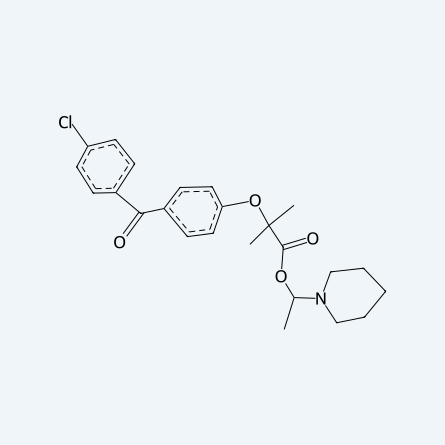 CC(OC(=O)C(C)(C)Oc1ccc(C(=O)c2ccc(Cl)cc2)cc1)N1CCCCC1